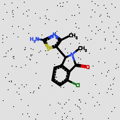 Cc1nc(N)sc1C1c2cccc(Cl)c2C(=O)N1C